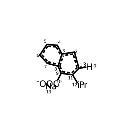 [3H]c1cc2ccccc2c(C(=O)[O-])c1C(C)C.[Na+]